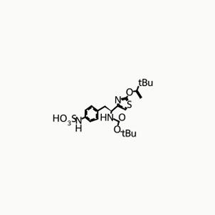 C=C(Oc1nc([C@H](Cc2ccc(NS(=O)(=O)O)cc2)NC(=O)OC(C)(C)C)cs1)C(C)(C)C